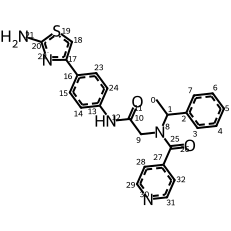 CC(c1ccccc1)N(CC(=O)Nc1ccc(-c2csc(N)n2)cc1)C(=O)c1ccncc1